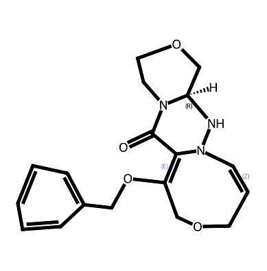 O=C1/C2=C(\OCc3ccccc3)COC/C=C\N2N[C@@H]2COCCN12